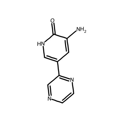 Nc1cc(-c2cnccn2)c[nH]c1=O